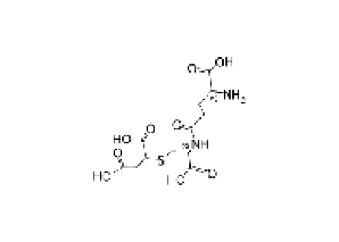 N[C@@H](CCC(=O)N[C@@H](CSC(CC(=O)O)C(=O)O)C(=O)O)C(=O)O